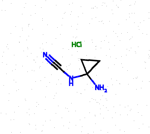 Cl.N#CNC1(N)CC1